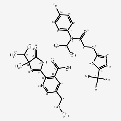 CC(C)N(C(=O)COc1nnc(C(F)(F)F)s1)c1ccc(F)cc1.COCc1cnc(C2=NC(C)(C(C)C)C(=O)N2)c(C(=O)O)c1